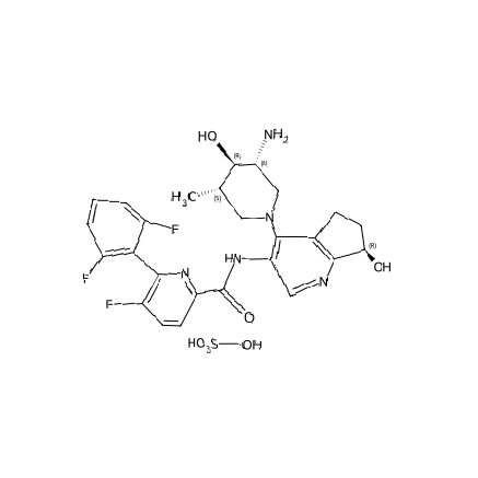 C[C@H]1CN(c2c(NC(=O)c3ccc(F)c(-c4c(F)cccc4F)n3)cnc3c2CC[C@H]3O)C[C@@H](N)[C@@H]1O.O=S(=O)(O)O